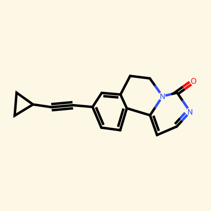 O=c1nccc2n1CCc1cc(C#CC3CC3)ccc1-2